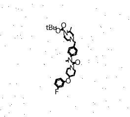 C[C@H]1CN(Cc2ccc(N(C)C(=O)N3CCC(Oc4cccc(F)c4)CC3)cc2)CCN1C(=O)OC(C)(C)C